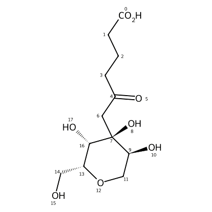 O=C(O)CCCC(=O)C[C@]1(O)[C@@H](O)CO[C@H](CO)[C@@H]1O